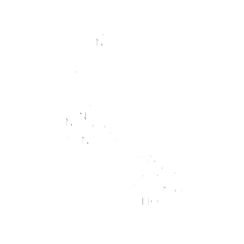 Cc1cc(Cn2cnn(-c3ccc(C#N)cc3)c2=O)cc(C)c1OC(C)(C)C(=O)O